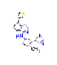 Cc1ccc(Nc2nccc3c(-c4ccsc4)cccc23)cc1-c1cncnc1